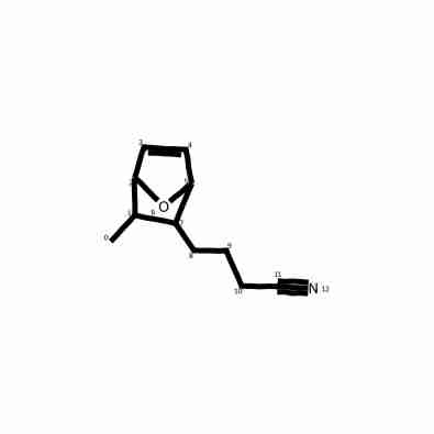 CC1C2C=CC(O2)C1CCCC#N